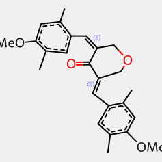 COc1cc(C)c(/C=C2/COC/C(=C\c3cc(C)c(OC)cc3C)C2=O)cc1C